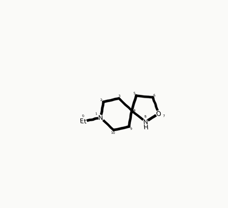 CCN1CCC2(CCON2)CC1